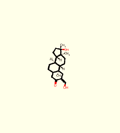 C[C@]12C/C(=C/O)C(=O)CC1CC[C@@H]1[C@@H]2CC[C@@]2(C)[C@H]1CC[C@]2(C)O